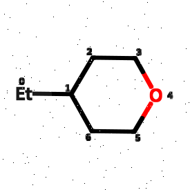 [CH2]CC1CCOCC1